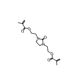 C=C(C)C(=O)OCCN1CCN(CCOC(=O)C(=C)C)C1=O